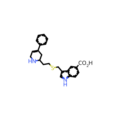 O=C(O)c1ccc2[nH]cc(CSCCC3CC(c4ccccc4)=CCN3)c2c1